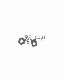 O=C(O)C1C2CCC(C2)C1NS(=O)(=O)c1ccccc1